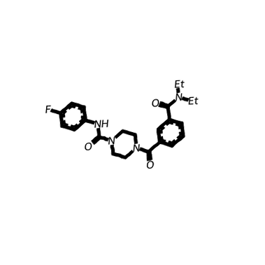 CCN(CC)C(=O)c1cccc(C(=O)N2CCN(C(=O)Nc3ccc(F)cc3)CC2)c1